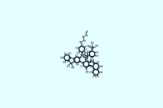 CCCCCc1ccc(Nc2cc3c(cc2-c2cc(C)c4c5c6ccccc6ccc5n5c4c2Bc2cc(C(C)(C)C)ccc2-5)C(C)(C)c2ccccc2-3)cc1